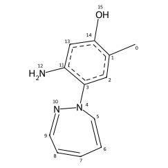 Cc1cc(N2C=CC=CC=N2)c(N)cc1O